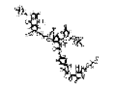 C=C1C[C@@H](CO[Si](C)(C)C(C)(C)C)N(C(=O)c2cc(OC)c(OCCCOc3cc(NC(=O)OCc4ccc(NC(=O)[C@H](C)NC(=O)[C@@H](NC(=O)CCOCCOC)C(C)C)cc4)c(C(=O)N4CC(=C)C[C@H]4CO[Si](C)(C)C(C)(C)C)cc3OC)cc2N)C1